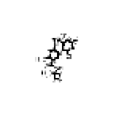 Cc1cc(N2CC2(c2cc(Cl)cc(Cl)c2)C(F)(F)F)ccc1C(=O)NC1(C)CSC1